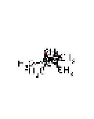 CCCCCCCCc1cc(C=C(CC)C(C)=Nc2cc(CCCCCCCC)c(CCCCCC)c(-c3ccccc3)c2)cc(CC)c1CCCCCC